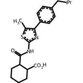 Cc1sc(NC(=O)C2CCCCC2C(=O)O)nc1-c1ccc(CC(C)C)cc1